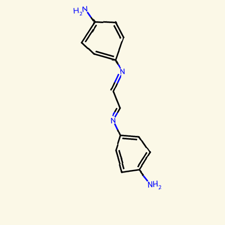 Nc1ccc(N=CC=Nc2ccc(N)cc2)cc1